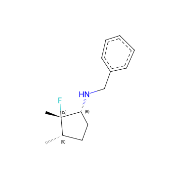 C[C@H]1CC[C@@H](NCc2ccccc2)[C@@]1(C)F